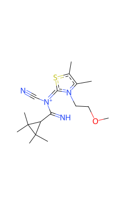 COCCn1c(C)c(C)s/c1=[N+](\C#N)C(=N)C1C(C)(C)C1(C)C